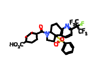 O=C(O)C12CCC(C(=O)N3CCC4(S(=O)(=O)c5ccccc5)c5ccc(C(F)(C(F)(F)F)C(F)(F)F)nc5CCC34)(CC1)CC2